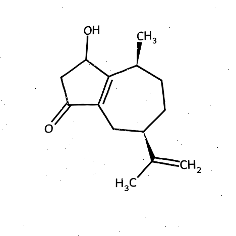 C=C(C)[C@@H]1CC[C@H](C)C2=C(C1)C(=O)CC2O